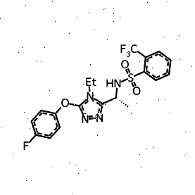 CCn1c(Oc2ccc(F)cc2)nnc1[C@@H](C)NS(=O)(=O)c1ccccc1C(F)(F)F